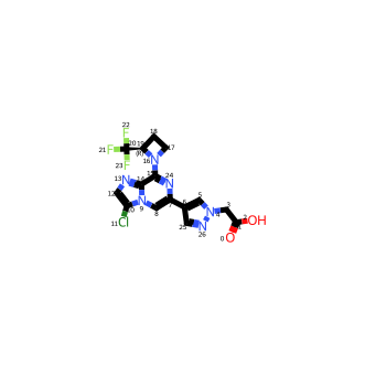 O=C(O)Cn1cc(-c2cn3c(Cl)cnc3c(N3CC[C@@H]3C(F)(F)F)n2)cn1